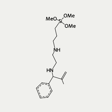 C=C(C)C(NCCNCCC[Si](OC)(OC)OC)c1ccccc1